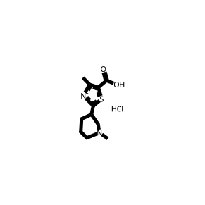 Cc1nc(C2CCCN(C)C2)sc1C(=O)O.Cl